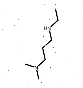 CCN[CH]CCN(C)C